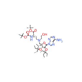 CC[Si](CC)(CC)OC1[C@@H](O[Si](CC)(CC)CC)[C@H](n2cnc3c(N)ncnc32)O[C@@H]1CN(CCO)CC[C@H](NC(=O)OC(C)(C)C)C(=O)OC(C)(C)C